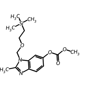 COC(=O)Oc1ccc2nc(C)n(COCC[Si](C)(C)C)c2c1